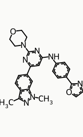 Cc1nn(C)c2cc(-c3cc(Nc4ccc(-c5ncco5)cc4)nc(N4CCOCC4)n3)ccc12